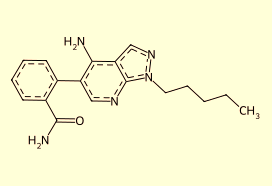 CCCCCn1ncc2c(N)c(-c3ccccc3C(N)=O)cnc21